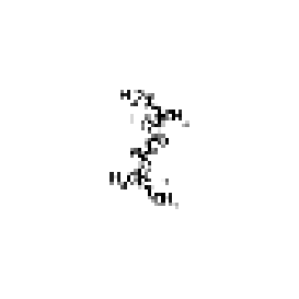 CCCCC(C)(C)COC(=O)C=CC(=O)OCC(C)(C)CCCC